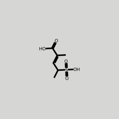 CC(=CC(C)S(=O)(=O)O)C(=O)O